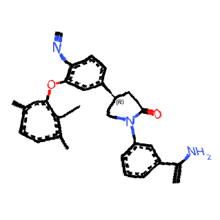 C=Nc1ccc([C@H]2CC(=O)N(c3cccc(C(=C)N)c3)C2)cc1Oc1c(C)ccc(C)c1C